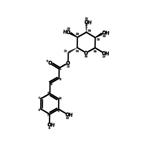 O=C(C=Cc1ccc(O)c(O)c1)OC[C@H]1OC(O)[C@H](O)[C@@H](O)[C@@H]1O